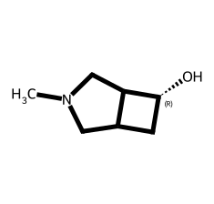 CN1CC2C[C@@H](O)C2C1